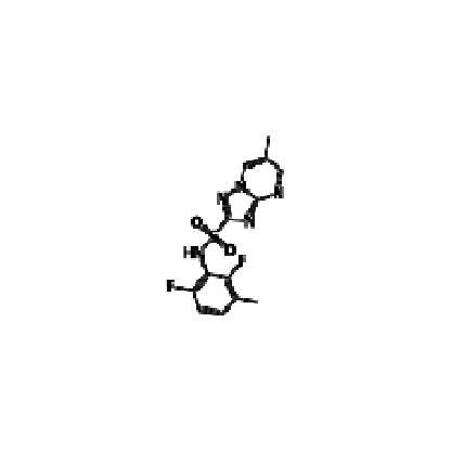 Cc1cnc2nc(S(=O)(=O)Nc3c(F)ccc(C)c3F)nn2c1